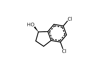 O[C@@H]1CCc2c(Cl)cc(Cl)cc21